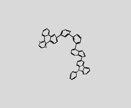 c1ccc(-n2c3ccccc3c3cc(-c4cccc5c(-c6cccc(-c7cccc(-c8ccc9c(c8)c8ccccc8c8nccnc98)c7)c6)cccc45)ccc32)cc1